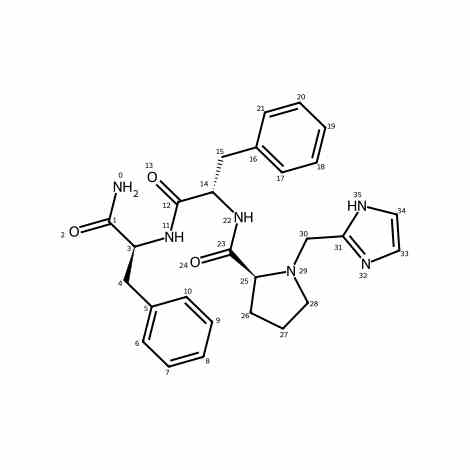 NC(=O)[C@H](Cc1ccccc1)NC(=O)[C@H](Cc1ccccc1)NC(=O)[C@@H]1CCCN1Cc1ncc[nH]1